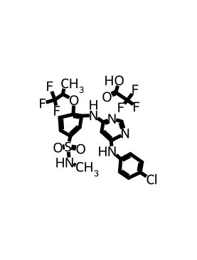 CNS(=O)(=O)c1ccc(OC(C)C(F)(F)F)c(Nc2cc(Nc3ccc(Cl)cc3)ncn2)c1.O=C(O)C(F)(F)F